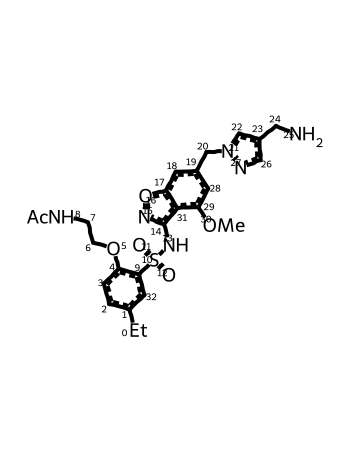 CCc1ccc(OCCNC(C)=O)c(S(=O)(=O)Nc2noc3cc(Cn4cc(CN)cn4)cc(OC)c23)c1